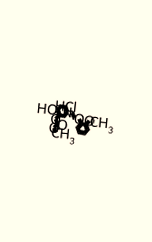 COC(=O)OC1=C(O)CCN(CCOc2ccccc2OC)C1.Cl